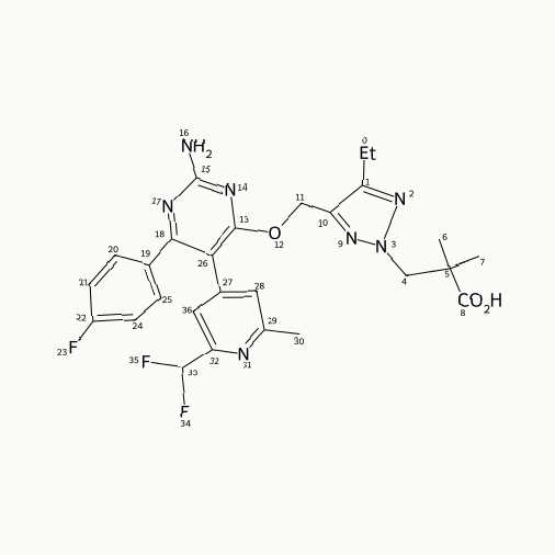 CCc1nn(CC(C)(C)C(=O)O)nc1COc1nc(N)nc(-c2ccc(F)cc2)c1-c1cc(C)nc(C(F)F)c1